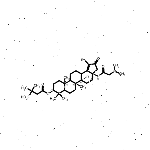 CC(C)C1=C2C3CCC4[C@@]5(C)CC[C@H](OC(=O)CC(C)(C)C(=O)O)C(C)(C)C5CC[C@@]4(C)[C@]3(C)CC[C@@]2(NC(=O)CN(C)C)CC1=O